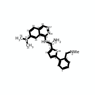 CNCc1ccccc1-c1ccc([C@@H](N)Nc2nncc3ccc(N(C)C)cc23)s1